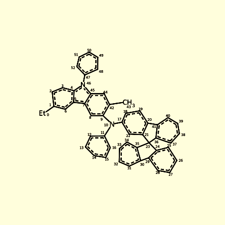 CCc1ccc2c(c1)c1cc(N(c3ccccc3)c3ccc4c(c3)C3(c5ccccc5-c5ccccc53)c3ccccc3-4)c(C)cc1n2-c1ccccc1